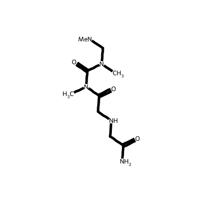 CNCN(C)C(=O)N(C)C(=O)CNCC(N)=O